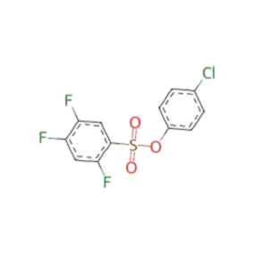 O=S(=O)(Oc1ccc(Cl)cc1)c1cc(F)c(F)cc1F